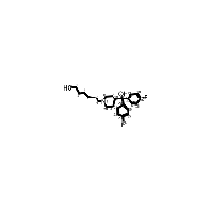 OCCCCCCN1CCC(C(O)(c2ccc(F)cc2)c2ccc(F)cc2)CC1